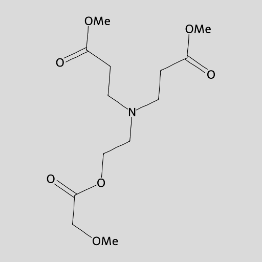 COCC(=O)OCCN(CCC(=O)OC)CCC(=O)OC